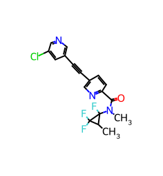 CC1C(F)(F)C1(F)N(C)C(=O)c1ccc(C#Cc2cncc(Cl)c2)cn1